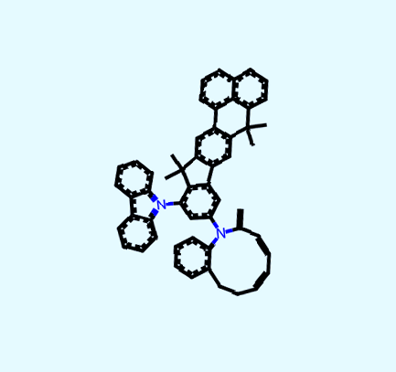 C=C1/C=C\C=C/CCc2ccccc2N1c1cc2c(c(-n3c4ccccc4c4ccccc43)c1)C(C)(C)c1cc3c(cc1-2)C(C)(C)c1cccc2cccc-3c12